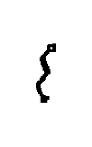 ClC=CCBr